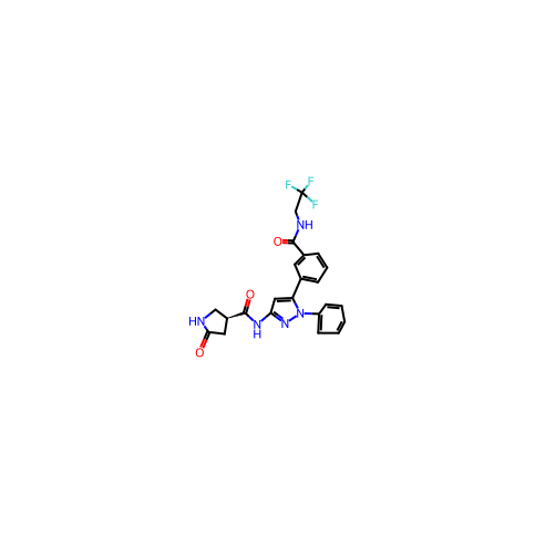 O=C1C[C@H](C(=O)Nc2cc(-c3cccc(C(=O)NCC(F)(F)F)c3)n(-c3ccccc3)n2)CN1